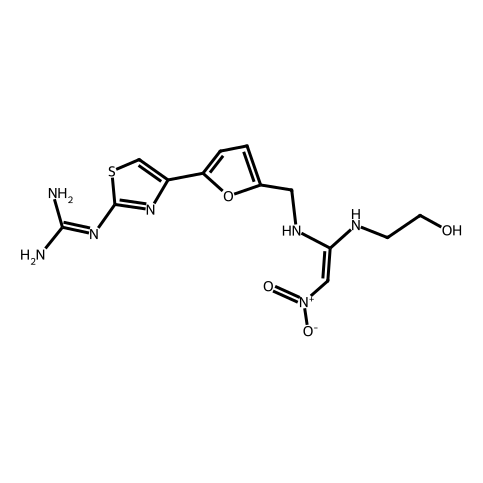 NC(N)=Nc1nc(-c2ccc(CN/C(=C\[N+](=O)[O-])NCCO)o2)cs1